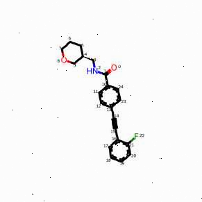 O=C(NC[C@@H]1CCCOC1)c1ccc(C#Cc2ccccc2F)cc1